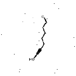 OC#CCCCCCCl